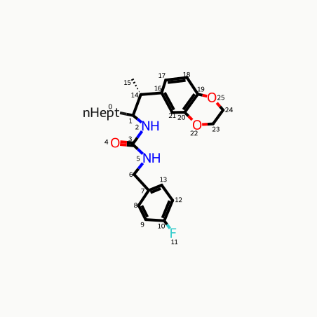 CCCCCCCC(NC(=O)NCc1ccc(F)cc1)[C@H](C)c1ccc2c(c1)OCCO2